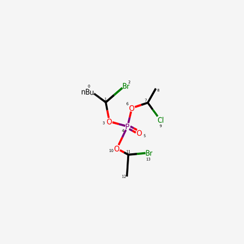 CCCCC(Br)OP(=O)(OC(C)Cl)OC(C)Br